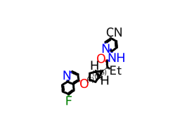 CCC(C(=O)Nc1ccc(C#N)cn1)[C@@H]1[C@@H]2C[C@@H](Oc3ccnc4ccc(F)cc34)C[C@@H]21